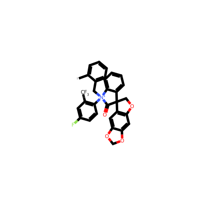 [CH]c1ccccc1C[N+]1(c2ccc(F)cc2C(F)(F)F)C(=O)C2(COc3cc4c(cc32)OCO4)c2ccccc21